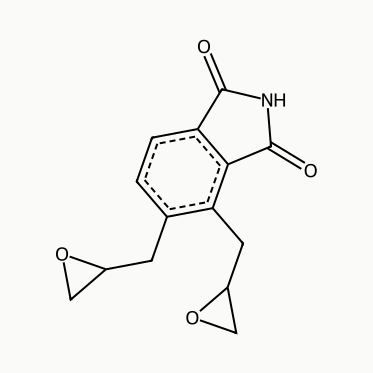 O=C1NC(=O)c2c1ccc(CC1CO1)c2CC1CO1